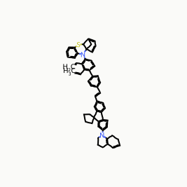 C=Cc1c(N2c3ccccc3SC3C4=CC=CC32C4)ccc(-c2ccc(/C=C/c3ccc4c(c3)C3(CCCC3)c3cc(N5CCCC6=C5CCC=C6)ccc3-4)cc2)c1/C=C\C